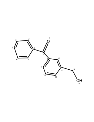 O=C(c1ccccc1)c1cccc(CO)c1